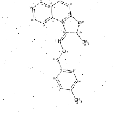 Cc1ccc(SO/N=C2/c3c(ccc4ccccc34)OC2C)cc1